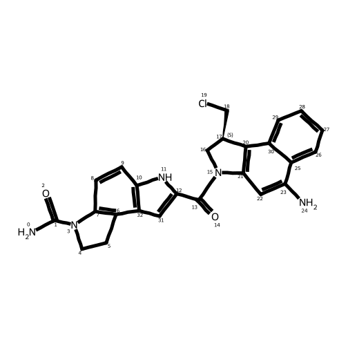 NC(=O)N1CCc2c1ccc1[nH]c(C(=O)N3C[C@@H](CCl)c4c3cc(N)c3ccccc43)cc21